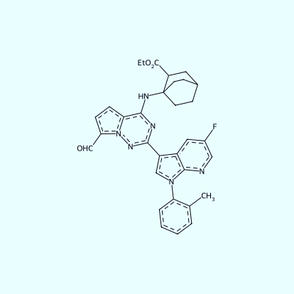 CCOC(=O)C1CC2CCC1(Nc1nc(-c3cn(-c4ccccc4C)c4ncc(F)cc34)nn3c(C=O)ccc13)CC2